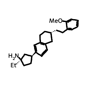 CC[C@@]1(N)CC[C@H](c2ccc3c(c2)CC[C@H](CCc2ccccc2OC)C3)C1